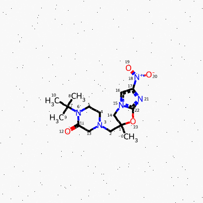 CC1(CN2CCN(C(C)(C)C)C(=O)C2)Cn2cc([N+](=O)[O-])nc2O1